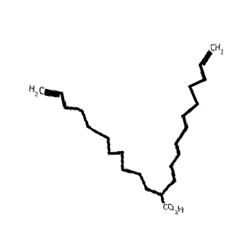 C=CCCCCCCCCCC(CCCCCCCCCC=C)C(=O)O